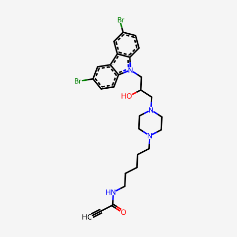 C#CC(=O)NCCCCCN1CCN(CC(O)Cn2c3ccc(Br)cc3c3cc(Br)ccc32)CC1